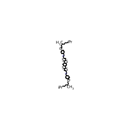 CC(C)CCCC(C)CCOc1ccc(/C=C/c2cc3sc4cc5c(cc4c3s2)sc2cc(/C=C/c3ccc(OCCC(C)CCCC(C)C)cc3)sc25)cc1